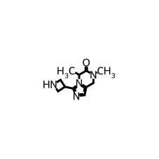 CC1C(=O)N(C)Cc2cnc(C3CNC3)n21